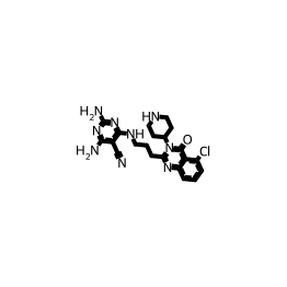 N#Cc1c(N)nc(N)nc1NCCCc1nc2cccc(Cl)c2c(=O)n1C1CCNCC1